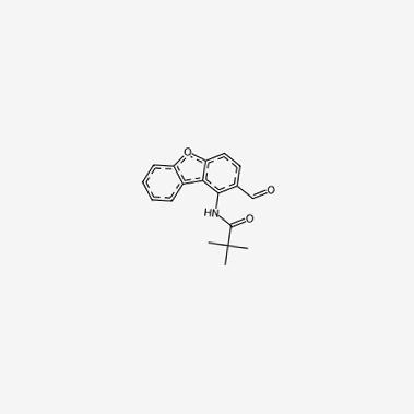 CC(C)(C)C(=O)Nc1c(C=O)ccc2oc3ccccc3c12